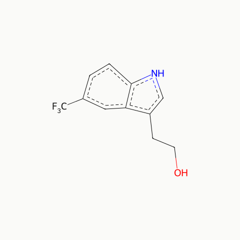 OCCc1c[nH]c2ccc(C(F)(F)F)cc12